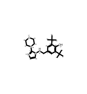 CC(C)(C)c1cc(CNn2ccnc2N2CCOCC2)cc(C(C)(C)C)c1O